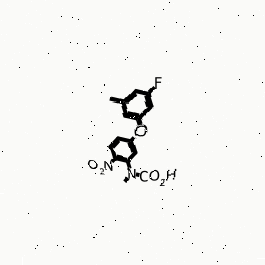 Cc1cc(F)cc(Oc2ccc([N+](=O)[O-])c(N(C)C(=O)O)c2)c1